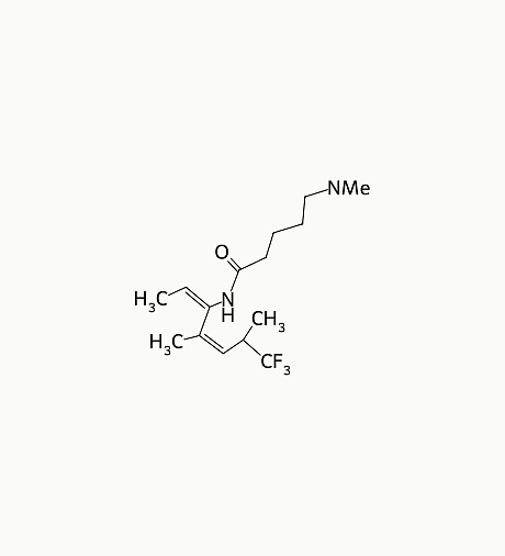 C/C=C(NC(=O)CCCCNC)\C(C)=C/C(C)C(F)(F)F